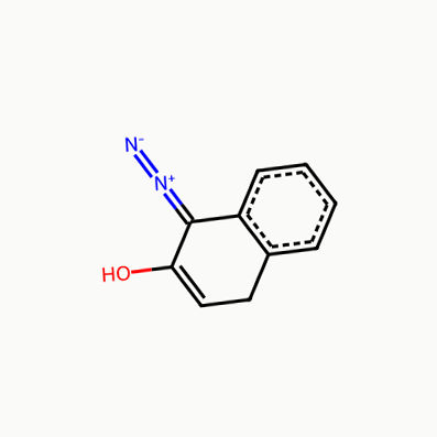 [N-]=[N+]=C1C(O)=CCc2ccccc21